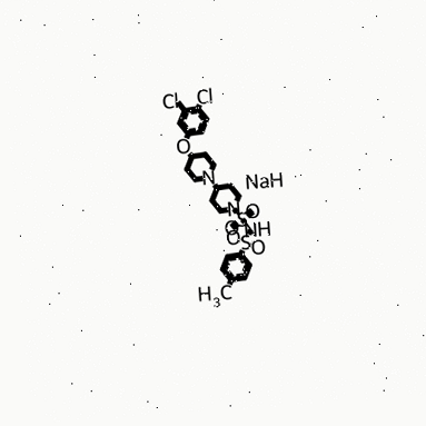 Cc1ccc(S(=O)(=O)NS(=O)(=O)N2CCC(N3CCC(Oc4ccc(Cl)c(Cl)c4)CC3)CC2)cc1.[NaH]